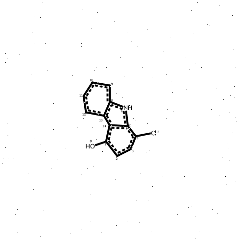 Oc1ccc(Cl)c2[nH]c3ccccc3c12